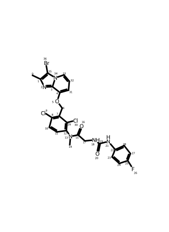 Cc1nc2c(OCc3c(Cl)ccc(N(C)C(=O)CNC(=O)Nc4ccc(F)cc4)c3Cl)cccn2c1Br